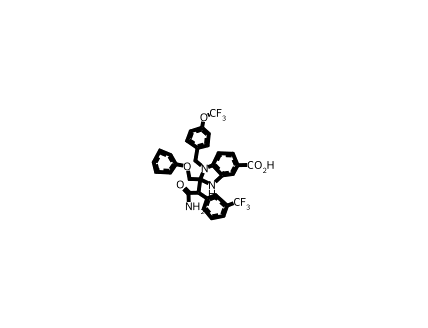 NC(=O)C(c1cccc(C(F)(F)F)c1)C1(COc2ccccc2)Nc2cc(C(=O)O)ccc2N1Cc1ccc(OC(F)(F)F)cc1